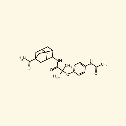 CC(C)(Oc1ccc(NC(=O)C(F)(F)F)cc1)C(=O)NC1C2CC3CC1CC(C(N)=O)(C3)C2